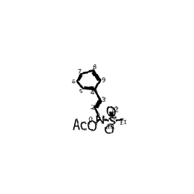 CC(=O)ON(C=Cc1ccccc1)S(C)(=O)=O